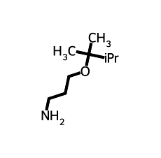 CC(C)C(C)(C)OCCCN